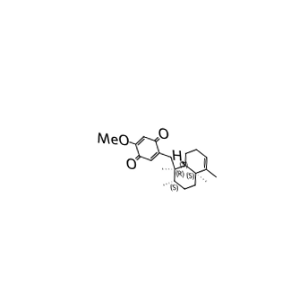 COC1=CC(=O)C(C[C@]2(C)[C@@H](C)CC[C@]3(C)C(C)=CCC[C@@H]23)=CC1=O